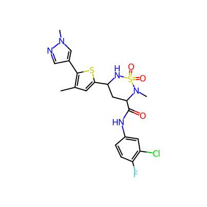 Cc1cc(C2CC(C(=O)Nc3ccc(F)c(Cl)c3)N(C)S(=O)(=O)N2)sc1-c1cnn(C)c1